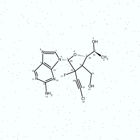 C[C@H](O)[C@H]1O[C@@H](n2cnc3cnc(N)nc32)C(F)(C#CCl)C1CO